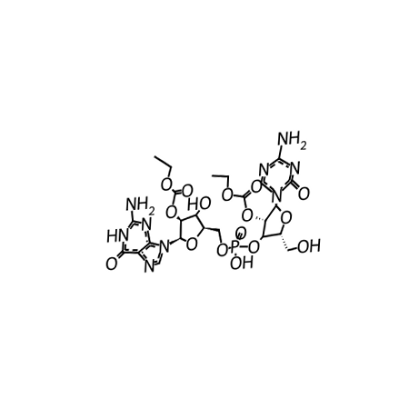 CCOC(=O)O[C@H]1C(OP(=O)(O)OC[C@H]2O[C@@H](n3cnc4c(=O)[nH]c(N)nc43)[C@@H](OC(=O)OCC)C2O)[C@@H](CO)O[C@H]1n1cnc(N)nc1=O